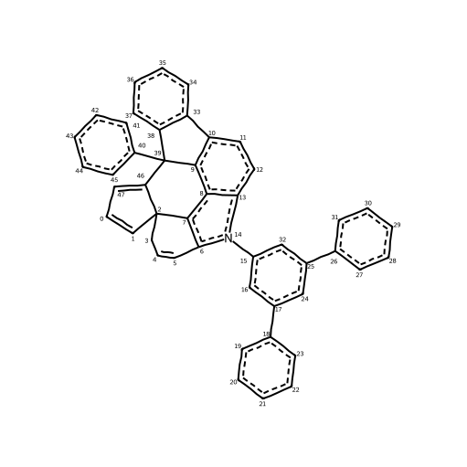 C1=CC23CC=Cc4c2c2c5c(ccc2n4-c2cc(-c4ccccc4)cc(-c4ccccc4)c2)-c2ccccc2C5(c2ccccc2)C3=C1